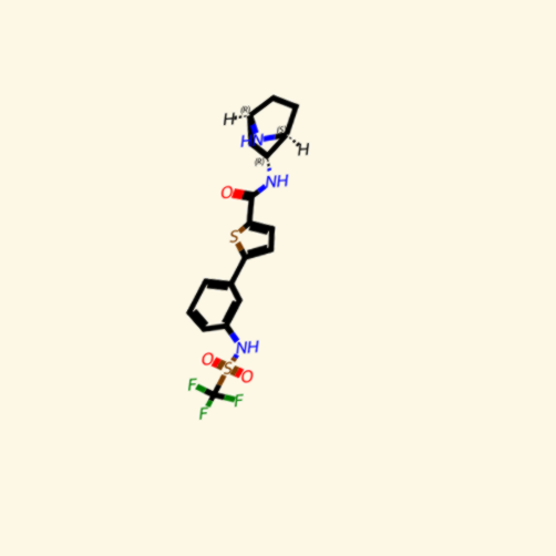 O=C(N[C@@H]1C[C@H]2CC[C@@H]1N2)c1ccc(-c2cccc(NS(=O)(=O)C(F)(F)F)c2)s1